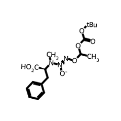 CC(O/N=[N+](\[O-])N(C)[C@@H](Cc1ccccc1)C(=O)O)OC(=O)OC(C)(C)C